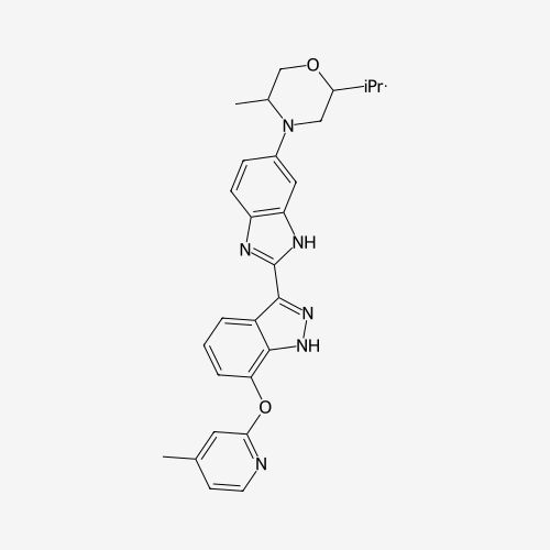 C[C](C)C1CN(c2ccc3nc(-c4n[nH]c5c(Oc6cc(C)ccn6)cccc45)[nH]c3c2)C(C)CO1